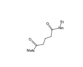 CCNC(=O)CCCC(=O)NC